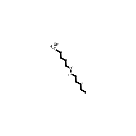 C.CCCCCOOCCCCC.F